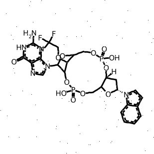 Nc1nc2c(ncn2C2OC3COP(=O)(O)O[C@@H]4C[C@H](n5ccc6ccccc65)OC4COP(=O)(O)OC2C3OCC(F)(F)F)c(=O)[nH]1